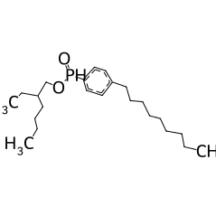 CCCCCCCCCc1ccc([PH](=O)OCC(CC)CCCC)cc1